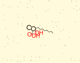 CCCCCCCCc1cc2ccccc2c(C(=O)O)c1O